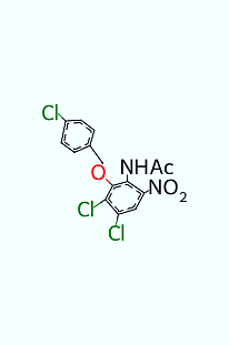 CC(=O)Nc1c([N+](=O)[O-])cc(Cl)c(Cl)c1OCc1ccc(Cl)cc1